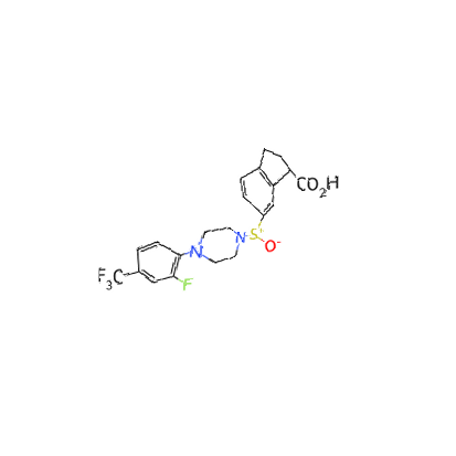 O=C(O)C1CCc2ccc([S+]([O-])N3CCN(c4ccc(C(F)(F)F)cc4F)CC3)cc21